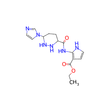 CCOC(=O)c1cc[nH]c1NC(=O)C1CCC(n2ccnc2)NN1